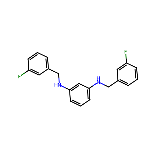 Fc1cccc(CNc2cccc(NCc3cccc(F)c3)c2)c1